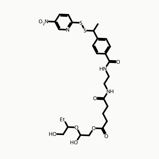 CCC(CO)OC(O)COC(=O)CCCC(=O)NCCNC(=O)c1ccc(C(C)SSc2ccc([N+](=O)[O-])cn2)cc1